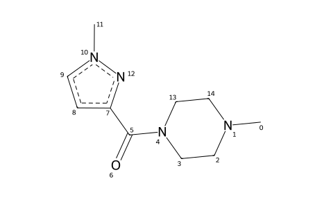 CN1CCN(C(=O)c2ccn(C)n2)CC1